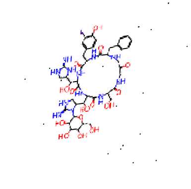 N=C1NCC(C(O)C2NC(=O)C(Cc3ccc(O)c(I)c3)NC(=O)C(Cc3ccccc3)NCC(=O)CNC(=O)C(CO)NC(=O)C(C(O)C3CNC(=N)N3C3OC(CO)C(O)C(O)C3O)NC2=O)N1